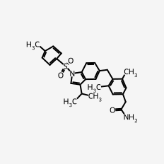 Cc1ccc(S(=O)(=O)n2cc(C(C)C)c3cc(Cc4c(C)cc(CC(N)=O)cc4C)ccc32)cc1